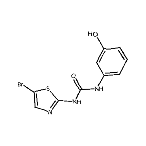 O=C(Nc1cccc(O)c1)Nc1ncc(Br)s1